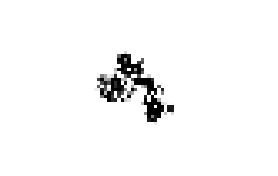 COC(=O)[C@H]1OC(Oc2cc3c(c4ccccc24)[C@H](CCl)CN3C(=O)c2ccc(C(=O)N3CCc4c3cc(O)c3ccccc43)s2)[C@H](OC(C)=O)[C@@H](O)[C@@H]1OC(C)=O